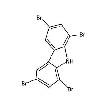 Brc1cc(Br)c2[nH]c3c(Br)cc(Br)cc3c2c1